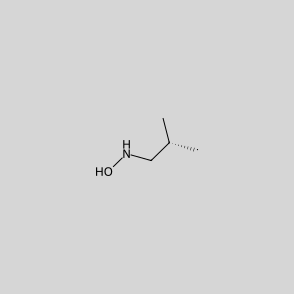 [CH2][C@@H](C)CNO